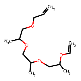 C=CCOCC(C)OCC(C)OCC(C)OC=C